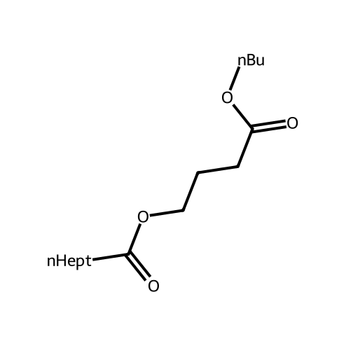 CCCCCCCC(=O)OCCCC(=O)OCCCC